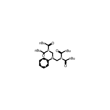 CCCCC(=O)P(CN(CP(C(=O)CCCC)C(=O)CCCC)c1ccccc1)C(=O)CCCC